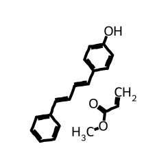 C=CC(=O)OC.Oc1ccc(C=CC=Cc2ccccc2)cc1